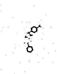 CC(=O)N([C@H](CC(=O)O)c1ccccc1)N1C(=O)N(C)[C@](C)(c2ccc(C(=N)N)cc2)C1=O.Cl